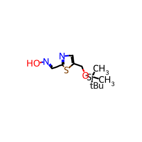 CC(C)(C)[Si](C)(C)OCc1cnc(C=NO)s1